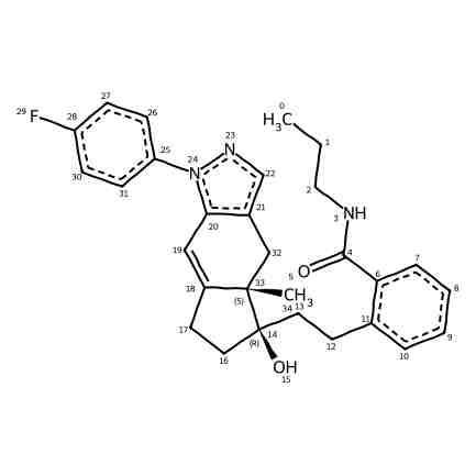 CCCNC(=O)c1ccccc1CC[C@]1(O)CCC2=Cc3c(cnn3-c3ccc(F)cc3)C[C@@]21C